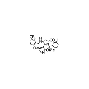 COc1ccc(C(F)(F)F)cc1CNC1CC(C(=O)O)N(C(=O)C2CCCCC2)C1c1cccnc1OC